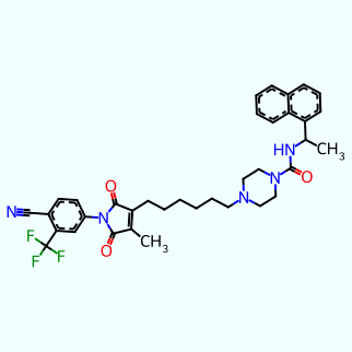 CC1=C(CCCCCCN2CCN(C(=O)NC(C)c3cccc4ccccc34)CC2)C(=O)N(c2ccc(C#N)c(C(F)(F)F)c2)C1=O